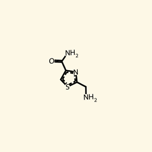 NCc1nc(C(N)=O)cs1